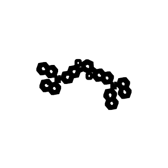 c1ccc2cc(N(c3ccc4cc5c(cc4c3)oc3c5ccc4oc5cc6cc(N(c7ccc8ccccc8c7)c7cccc8ccccc78)ccc6cc5c43)c3cccc4ccccc34)ccc2c1